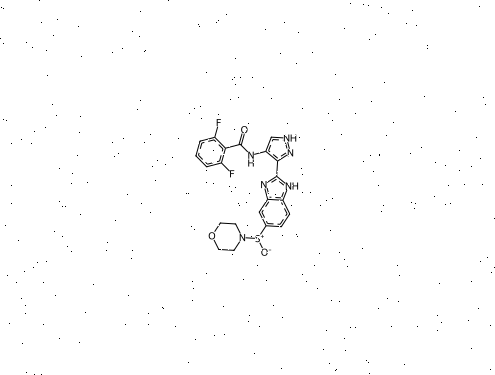 O=C(Nc1c[nH]nc1-c1nc2cc([S+]([O-])N3CCOCC3)ccc2[nH]1)c1c(F)cccc1F